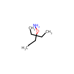 C[CH]CC(CC)(CC)ON